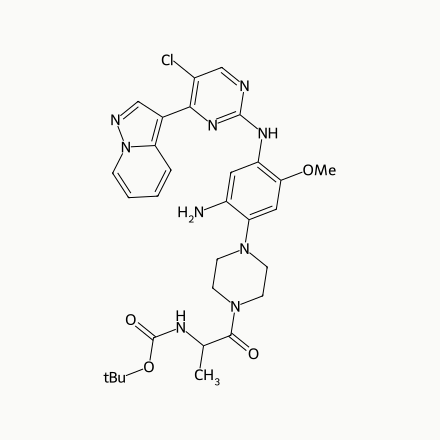 COc1cc(N2CCN(C(=O)C(C)NC(=O)OC(C)(C)C)CC2)c(N)cc1Nc1ncc(Cl)c(-c2cnn3ccccc23)n1